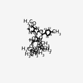 COc1ncnc2c1ncn2[C@@H]1O[C@@H]2CO[Si](C(C)C)(C(C)C)O[Si](C(C)C)(C(C)C)O[C@H]2[C@@H]1OC(=O)c1ccc(C)cc1